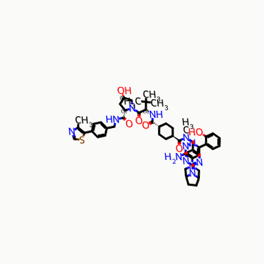 Cc1ncsc1-c1ccc(CNC(=O)[C@@H]2C[C@@H](O)CN2C(=O)[C@@H](NC(=O)[C@H]2CC[C@H](C(=O)N(C)Cc3cnc(N4C5CCC4CN(c4cc(-c6ccccc6O)nnc4N)C5)nc3)CC2)C(C)(C)C)cc1